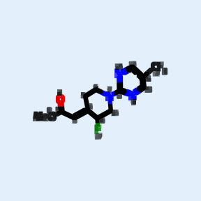 COC(=O)C=C1CCN(c2ncc(C(F)(F)F)cn2)CC1F